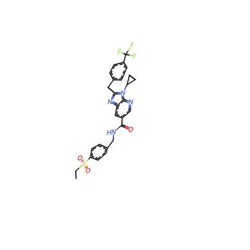 CCS(=O)(=O)c1ccc(CNC(=O)c2cnc3c(c2)nc(Cc2ccc(C(F)(F)F)cc2)n3C2CC2)cc1